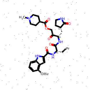 COc1cccc2[nH]c(C(=O)N[C@@H](CC(C)C)C(=O)N[C@@H](C[C@@H]3CCNC3=O)C(=O)COC(=O)C3CCN(C)CC3)cc12